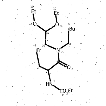 CCOC(=O)NC(CC(C)C)C(=O)N(CC(C)CC)CC(OCC)OCC